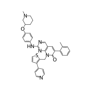 Cc1ccccc1-c1cc2cnc(Nc3ccc(OC4CCCN(C)C4)cc3)nc2n(Cc2sccc2-c2ccncc2)c1=O